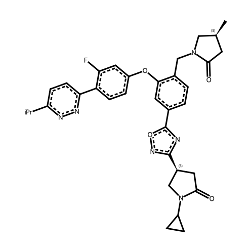 CC(C)c1ccc(-c2ccc(Oc3cc(-c4nc([C@H]5CC(=O)N(C6CC6)C5)no4)ccc3CN3C[C@@H](C)CC3=O)cc2F)nn1